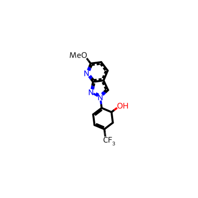 COc1ccc2cn(C3=CC=C(C(F)(F)F)CC3O)nc2n1